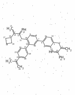 C=C(Cc1ccc(-c2ccc(CC(=P)C(=C)C3CCC3)c(-c3ccc(C(=C)C)cc3)c2)cc1)C(=P)P